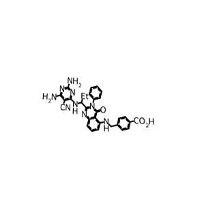 CCC(Nc1nc(N)nc(N)c1C#N)c1nc2cccc(NCc3ccc(C(=O)O)cc3)c2c(=O)n1-c1ccccc1